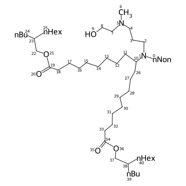 CCCCCCCCCN(CCCN(C)CCO)C(CCCCCCCCC(=O)OCC(CCCC)CCCCCC)CCCCCCCCC(=O)OCC(CCCC)CCCCCC